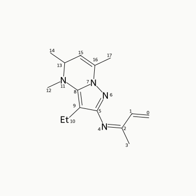 C=C/C(C)=N\c1nn2c(c1CC)N(C)C(C)C=C2C